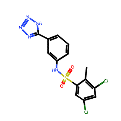 Cc1c(Cl)cc(Cl)cc1S(=O)(=O)Nc1cccc(-c2nnn[nH]2)c1